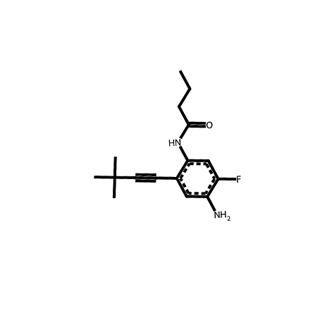 CCCC(=O)Nc1cc(F)c(N)cc1C#CC(C)(C)C